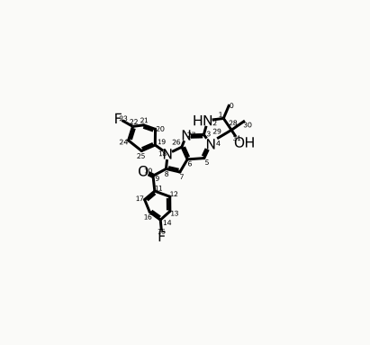 CC(Nc1ncc2cc(C(=O)c3ccc(F)cc3)n(-c3ccc(F)cc3)c2n1)C(C)(C)O